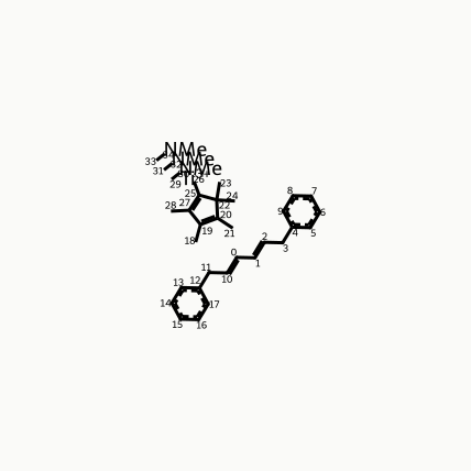 C(C=CCc1ccccc1)=CCc1ccccc1.CC1=C(C)C(C)(C)[C]([Ti+3])=C1C.C[N-]C.C[N-]C.C[N-]C